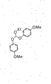 CCOC(Oc1ccc(OC)cc1)Oc1ccc(OC)cc1